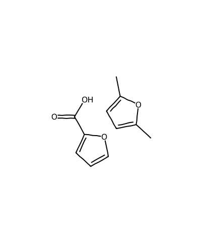 Cc1ccc(C)o1.O=C(O)c1ccco1